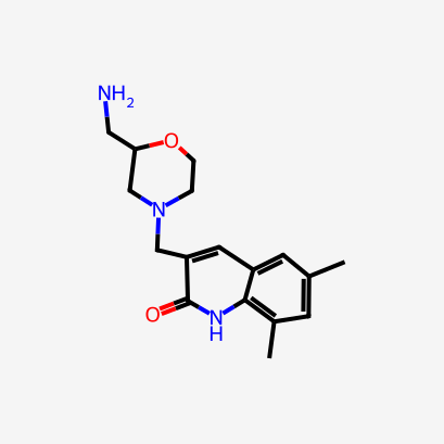 Cc1cc(C)c2[nH]c(=O)c(CN3CCOC(CN)C3)cc2c1